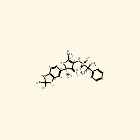 BC(B)(c1ccccc1)S(=O)(=O)OC1=C(N)O[C@](B)(c2ccc3c(c2)OC(F)(F)O3)C1=O